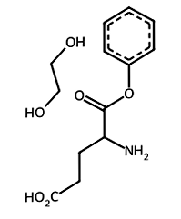 NC(CCC(=O)O)C(=O)Oc1ccccc1.OCCO